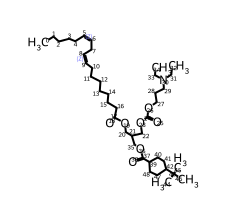 CCCCC/C=C\C/C=C\CCCCCCCC(=O)OCC(COC(=O)OCCCN(CC)CC)COC(=O)C1CCC(C(C)(C)C)CC1